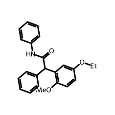 CCOc1ccc(OC)c(C(C(=O)Nc2ccccc2)c2ccccc2)c1